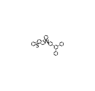 c1ccc(-c2cc(-c3ccccc3)cc(-c3ccc(-n4c5ccccc5c5c6ccc7c8ccccc8sc7c6ccc54)cc3)c2)cc1